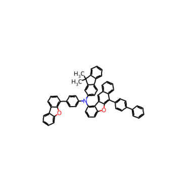 CC1(C)c2ccccc2-c2ccc(N(c3ccc(-c4cccc5c4oc4ccccc45)cc3)c3cccc4oc5c(-c6ccc(-c7ccccc7)cc6)c6ccccc6cc5c34)cc21